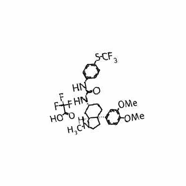 COc1ccc([C@@]23CC[C@@H](NC(=O)Nc4ccc(SC(F)(F)F)cc4)C[C@@H]2N(C)CC3)cc1OC.O=C(O)C(F)(F)F